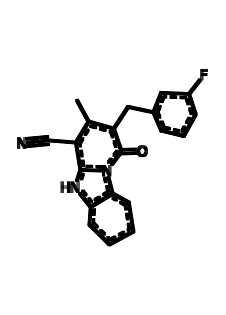 Cc1c(Cc2cccc(F)c2)c(=O)n2c([nH]c3ccccc32)c1C#N